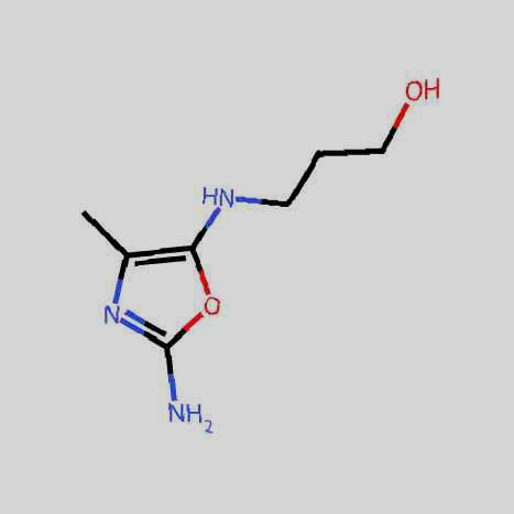 Cc1nc(N)oc1NCCCO